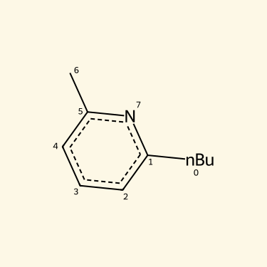 CCCCc1cccc(C)n1